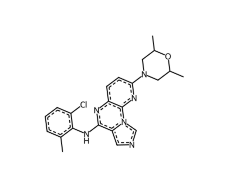 Cc1cccc(Cl)c1Nc1nc2ccc(N3CC(C)OC(C)C3)nc2n2cncc12